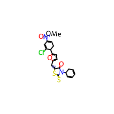 CO[N+](=O)C1=CCC(c2ccc(/C=C3/SC(=S)N(C4C=CC=CC4)C3=O)o2)C(Cl)=C1